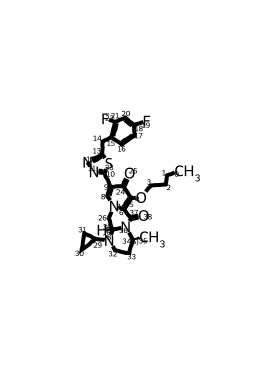 CCCCOc1c2n(cc(-c3nnc(Cc4ccc(F)cc4F)s3)c1=O)C[C@H]1N(C3CC3)CC[C@H](C)N1C2=O